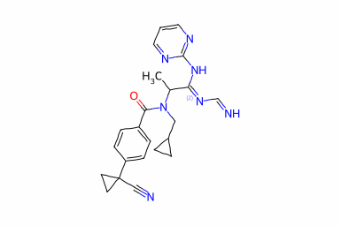 CC(/C(=N/C=N)Nc1ncccn1)N(CC1CC1)C(=O)c1ccc(C2(C#N)CC2)cc1